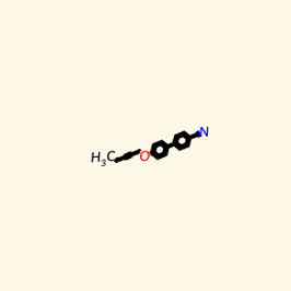 CCC#CCOc1ccc(-c2ccc(C#N)cc2)cc1